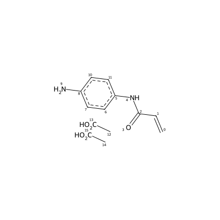 C=CC(=O)Nc1ccc(N)cc1.CC(=O)O.CC(=O)O